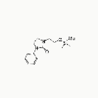 CC(C)(C)[Si](C)(C)OCCN1CCN(c2ccccc2)C1=O